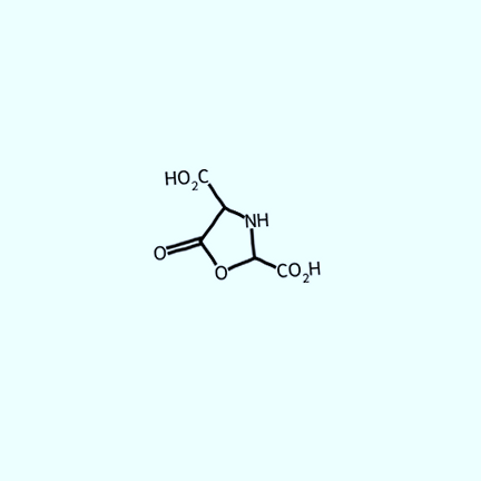 O=C(O)C1NC(C(=O)O)C(=O)O1